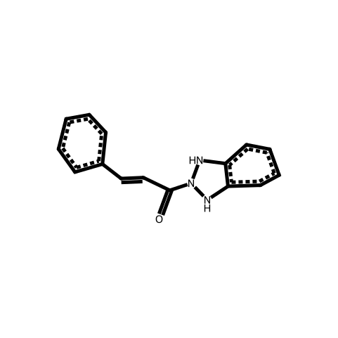 O=C(C=Cc1ccccc1)N1Nc2ccccc2N1